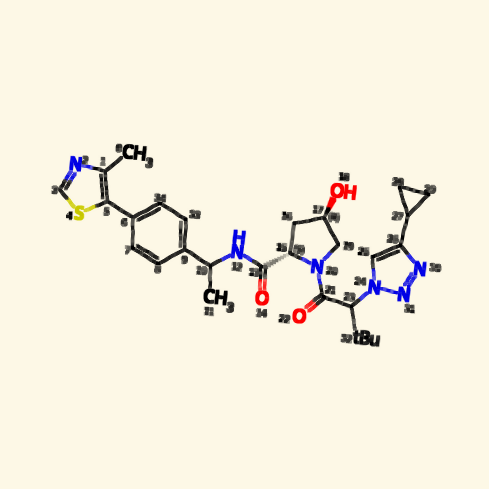 Cc1ncsc1-c1ccc(C(C)NC(=O)[C@@H]2C[C@@H](O)CN2C(=O)C(n2cc(C3CC3)nn2)C(C)(C)C)cc1